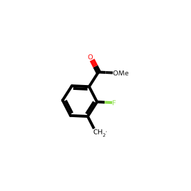 [CH2]c1cccc(C(=O)OC)c1F